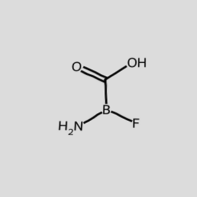 NB(F)C(=O)O